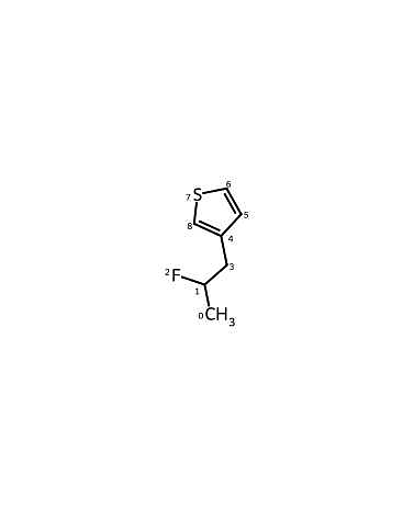 CC(F)Cc1ccsc1